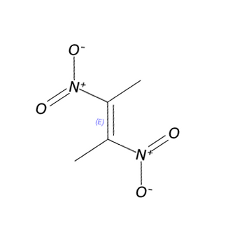 C/C(=C(/C)[N+](=O)[O-])[N+](=O)[O-]